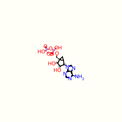 Nc1ncnc2c1ncn2[C@@H]1C2C[C@@]2(COP(=O)(O)OP(=O)(O)O)[C@@H](O)[C@H]1O